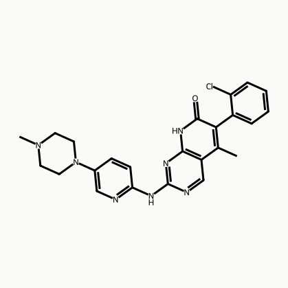 Cc1c(-c2ccccc2Cl)c(=O)[nH]c2nc(Nc3ccc(N4CCN(C)CC4)cn3)ncc12